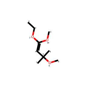 CCO/C(=C/C(C)(C)OC)OC